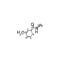 CC1=CC(C(=O)NC(C)C)CC=C1